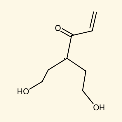 C=CC(=O)[C](CCO)CCO